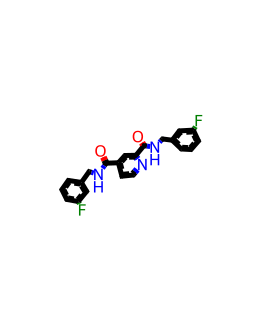 O=C(NCc1cccc(F)c1)c1ccnc(C(=O)NCc2cccc(F)c2)c1